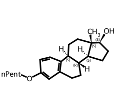 CCCCCOc1ccc2c(c1)CC[C@@H]1[C@@H]2CC[C@]2(C)[C@@H](O)CC[C@@H]12